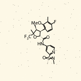 CN=[S@@](C)(=O)c1cc(NC(=O)[C@@H]2O[C@@](C)(C(F)(F)F)[C@@H](C)[C@H]2c2ccc(F)c(C)c2OC)ccn1